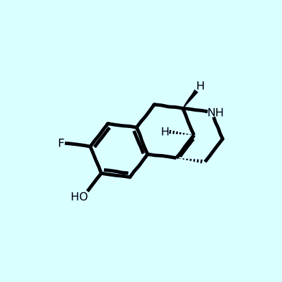 Oc1cc2c(cc1F)C[C@@H]1NCC[C@]23CCCC[C@H]13